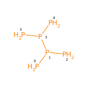 PP(P)P(P)P